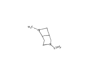 CN1CC2C1CN2C